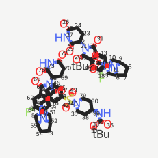 CC(C)(C)OC(=O)N1CC2CCC(C1)N2c1cc2c(cc1F)C(=O)N(C1CCC(=O)NC1=O)C2=O.CC(C)(C)OC(=O)NC1CCN(S(=O)(=O)c2cccc(CN3CC4CCC(C3)N4c3cc4c(cc3F)C(=O)N(C3CCC(=O)NC3=O)C4=O)c2)CC1